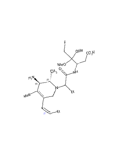 CC/C=C\C1=C(NC)[C@@H](N)[C@H](C)N(C(CC)C(=O)NC(CC(=O)O)C(CF)(OC)OC)C1